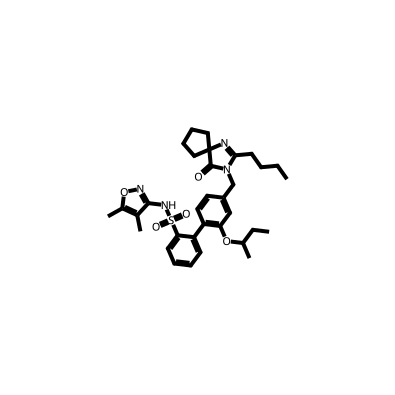 CCCCC1=NC2(CCCC2)C(=O)N1Cc1ccc(-c2ccccc2S(=O)(=O)Nc2noc(C)c2C)c(OC(C)CC)c1